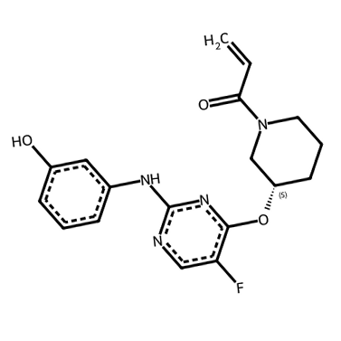 C=CC(=O)N1CCC[C@H](Oc2nc(Nc3cccc(O)c3)ncc2F)C1